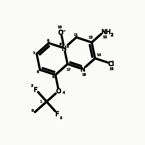 CC(F)(F)OC1=CC=C[N+]2([O-])CC(N)=C(Cl)N=C12